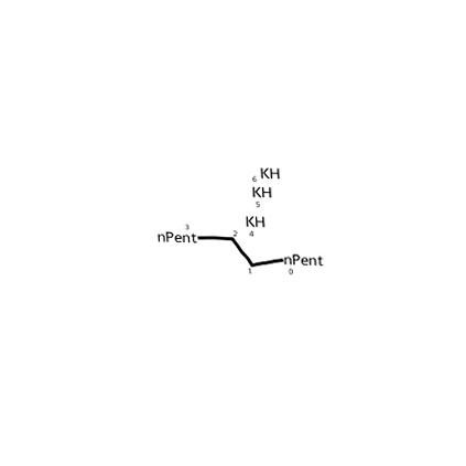 [CH2]CCCCCCCCCCC.[KH].[KH].[KH]